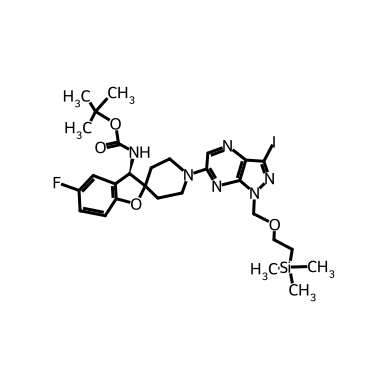 CC(C)(C)OC(=O)N[C@@H]1c2cc(F)ccc2OC12CCN(c1cnc3c(I)nn(COCC[Si](C)(C)C)c3n1)CC2